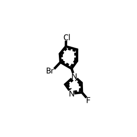 Fc1cn(-c2ccc(Cl)cc2Br)cn1